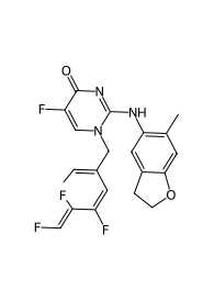 C\C=C(/C=C(F)\C(F)=C\F)Cn1cc(F)c(=O)nc1Nc1cc2c(cc1C)OCC2